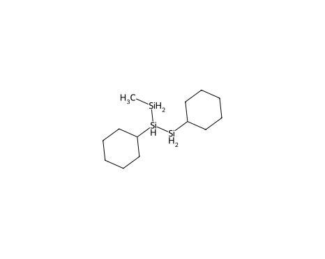 C[SiH2][SiH]([SiH2]C1CCCCC1)C1CCCCC1